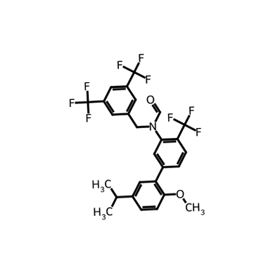 COc1ccc(C(C)C)cc1-c1ccc(C(F)(F)F)c(N(C=O)Cc2cc(C(F)(F)F)cc(C(F)(F)F)c2)c1